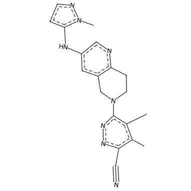 Cc1c(C#N)nnc(N2CCc3ncc(Nc4ccnn4C)cc3C2)c1C